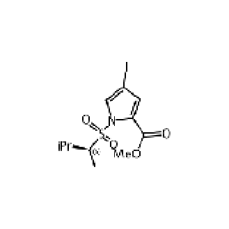 COC(=O)c1cc(I)cn1S(=O)(=O)[C@@H](C)C(C)C